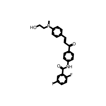 CN(CCO)c1ccc(/C=C/C(=O)c2ccc(NC(=O)c3cc(I)ccc3F)cc2)cc1